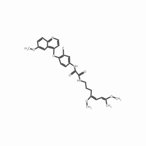 CO/C(C)=C/C=C(\CCCNC(=O)C(=O)Nc1ccc(Oc2ccnc3ccc(OC)cc23)c(F)c1)OC